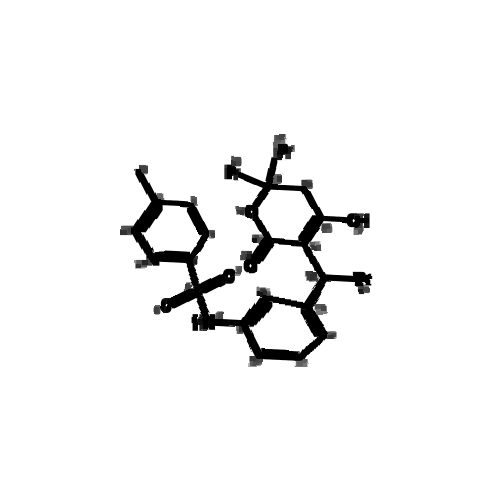 Cc1ccc(S(=O)(=O)Nc2cccc(C(C3=C(O)CC(C(C)C)(C(C)C)OC3=O)C(C)C)c2)nc1